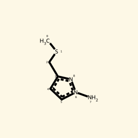 CSCc1ccn(N)n1